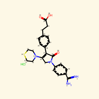 Cl.N=C(N)c1ccc(N2CC(N3CCSCC3)=C(c3ccc(CCC(=O)O)cc3)C2=O)cc1